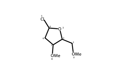 COCC1OC(Cl)CC1OC